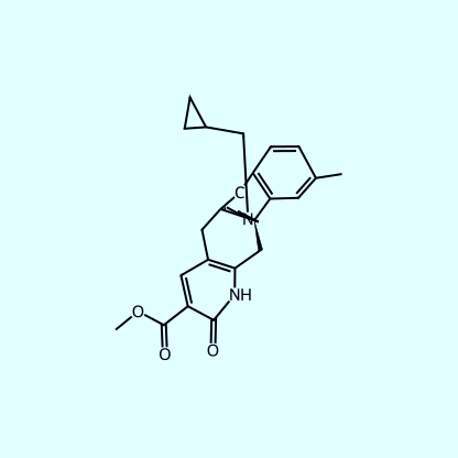 COC(=O)c1cc2c([nH]c1=O)C[C@@]13CCN(CC4CC4)C[C@@]1(Cc1ccc(C)cc13)C2